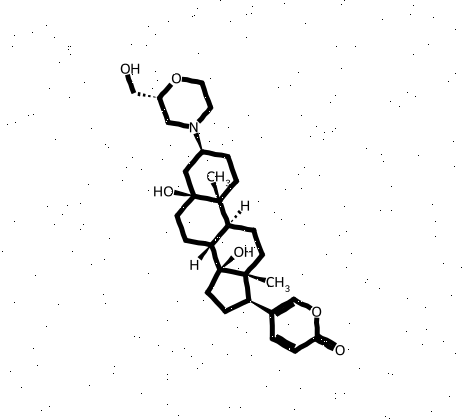 C[C@]12CC[C@H](N3CCO[C@@H](CO)C3)C[C@@]1(O)CC[C@@H]1[C@@H]2CC[C@]2(C)[C@@H](c3ccc(=O)oc3)CC[C@]12O